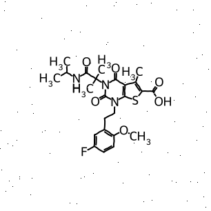 COc1ccc(F)cc1CCn1c(=O)n(C(C)(C)C(=O)NC(C)C)c(=O)c2c(C)c(C(=O)O)sc21